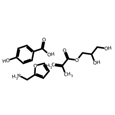 C=C(C)C(=O)OCC(O)CO.NCc1ccco1.O=C(O)c1ccc(O)cc1